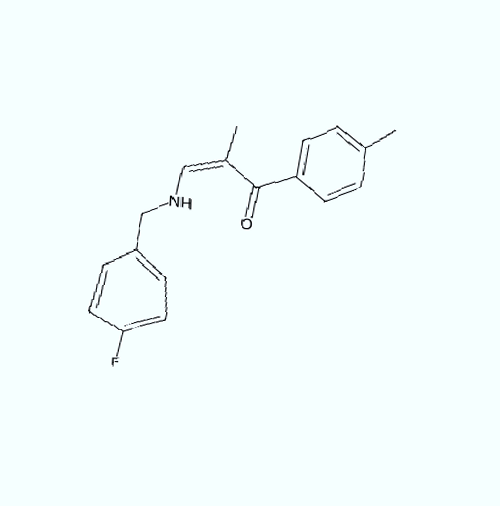 CC(=CNCc1ccc(F)cc1)C(=O)c1ccc(C)cc1